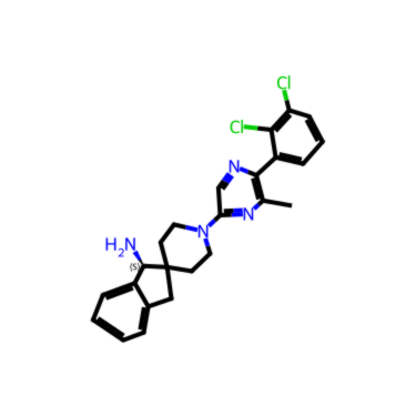 Cc1nc(N2CCC3(CC2)Cc2ccccc2[C@H]3N)cnc1-c1cccc(Cl)c1Cl